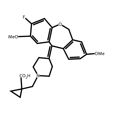 COc1ccc2c(c1)COc1cc(F)c(OC)cc1C2=C1CCN(CC2(C(=O)O)CC2)CC1